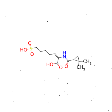 CC1(C)CC1C(=O)NC(=CCCCCS(=O)(=O)O)C(=O)O